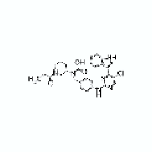 C=CC(=O)N1CCCC(N(Cc2ccc(Nc3ncc(Cl)c(-c4c[nH]c5ccccc45)n3)cc2)C(=O)O)C1